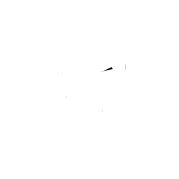 O[C@@H]1COC[C@H]1Cl